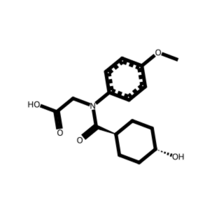 COc1ccc(N(CC(=O)O)C(=O)[C@H]2CC[C@H](O)CC2)cc1